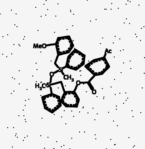 COc1ccccc1C[Si](C)(O[Si](C)(Cc1ccccc1OC(=O)c1ccc(C(C)=O)cc1)c1ccccc1)c1ccccc1